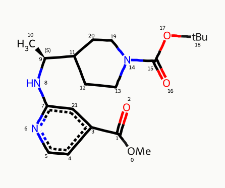 COC(=O)c1ccnc(N[C@@H](C)C2CCN(C(=O)OC(C)(C)C)CC2)c1